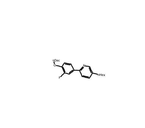 CCCCCCCCCCOc1ccc(-c2ccc(CCCCCC)cn2)cc1F